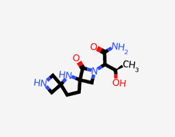 C[C@@H](O)C(C(N)=O)N1CC2(CCC3(CNC3)N2)C1=O